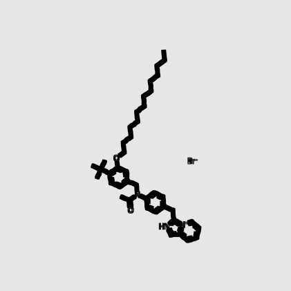 CCCCCCCCCCCCCCOc1cc(CN(C(C)=O)c2ccc(Cc3[nH]cc4cccc[n+]34)cc2)ccc1C(C)(C)C.[Br-]